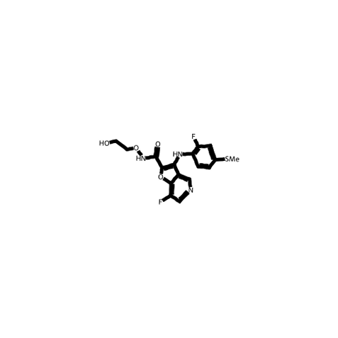 CSc1ccc(Nc2c(C(=O)NOCCO)oc3c(F)cncc23)c(F)c1